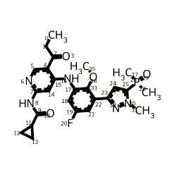 CCC(=O)c1cnc(NC(=O)C2CC2)cc1Nc1cc(F)cc(-c2cc(P(C)(C)=O)n(C)n2)c1OC